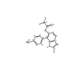 Cc1nc2ccc(SC(=O)N(C)C)c(-c3ccc(C#N)cc3)c2s1